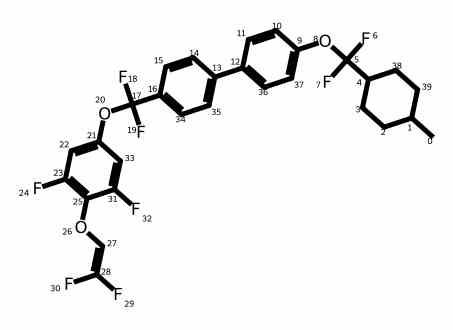 CC1CCC(C(F)(F)Oc2ccc(-c3ccc(C(F)(F)Oc4cc(F)c(OC=C(F)F)c(F)c4)cc3)cc2)CC1